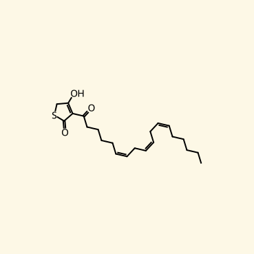 CCCCC/C=C\C/C=C\C/C=C\CCCCC(=O)C1=C(O)CSC1=O